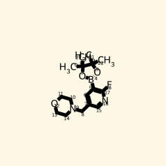 CC1(C)OB(c2cc(CN3CCOCC3)cnc2F)OC1(C)C